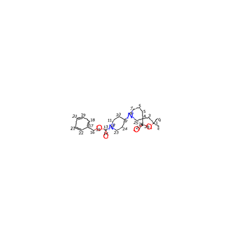 CC1(C)CC2(CCCN(C3CCN(C(=O)OCc4ccccc4)CC3)C2)C(=O)O1